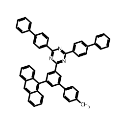 Cc1ccc(-c2cc(-c3nc(-c4ccc(-c5ccccc5)cc4)nc(-c4ccc(-c5ccccc5)cc4)n3)cc(-c3c4ccccc4cc4ccccc34)c2)cc1